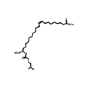 CCCCCCCCC(CCCCCCCCCC/C=C\CCCCCCCC(=O)OC)OC(=O)CCCN(C)C